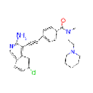 CN(CCN1CCCCC1)C(=O)c1ccc(C#Cc2c(N)ncc3ccc(Cl)cc23)cc1